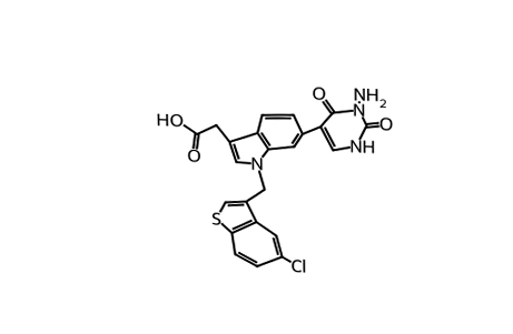 Nn1c(=O)[nH]cc(-c2ccc3c(CC(=O)O)cn(Cc4csc5ccc(Cl)cc45)c3c2)c1=O